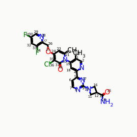 Cc1cnc(-c2ccnc(N3CC(C(N)=O)C3)n2)cc1-n1c(C)cc(OCc2ncc(F)cc2F)c(Cl)c1=O